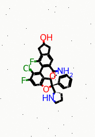 C[C@H]1c2c(cc(F)c(Cl)c2-c2c(C(N)=O)cc3c(c2F)CC(O)C3)O[C@@]1(c1ccccc1)[C@@H]1CCCN1